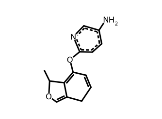 CC1OC=C2CC=CC(Oc3ccc(N)cn3)=C21